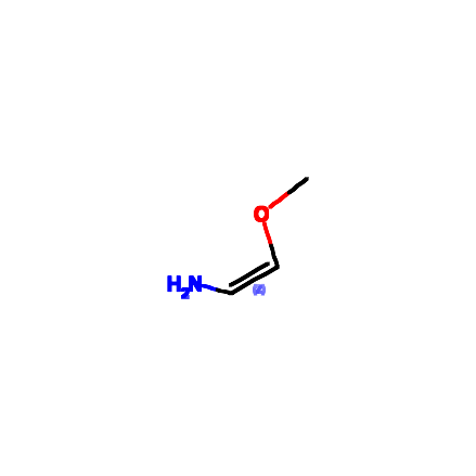 CO/C=C\N